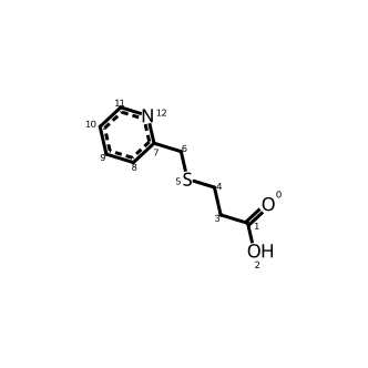 O=C(O)CCSCc1ccccn1